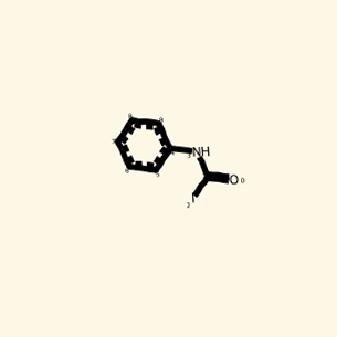 O=C(I)Nc1ccccc1